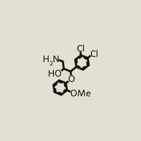 COc1ccccc1OC(c1ccc(Cl)c(Cl)c1)C(O)CN